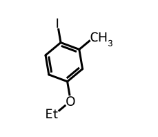 CCOc1ccc(I)c(C)c1